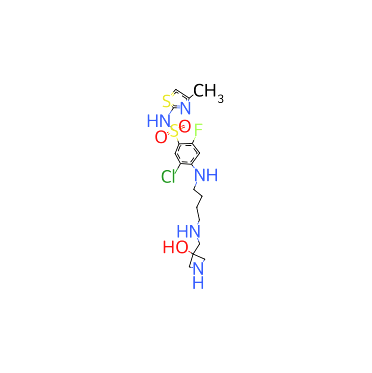 Cc1csc(NS(=O)(=O)c2cc(Cl)c(NCCCCNCC3(O)CNC3)cc2F)n1